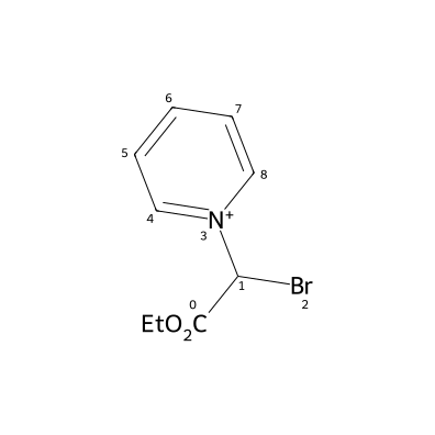 CCOC(=O)C(Br)[n+]1ccccc1